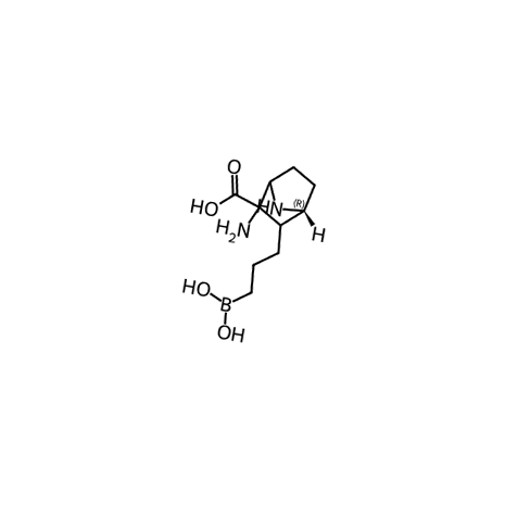 NC1(C(=O)O)C2CC[C@@H](N2)C1CCCB(O)O